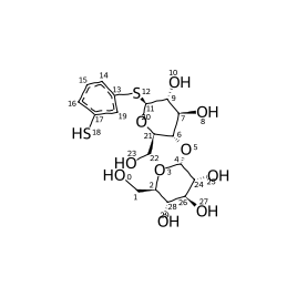 OC[C@H]1O[C@H](O[C@H]2[C@H](O)[C@@H](O)[C@H](Sc3cccc(S)c3)O[C@@H]2CO)[C@H](O)[C@@H](O)[C@@H]1O